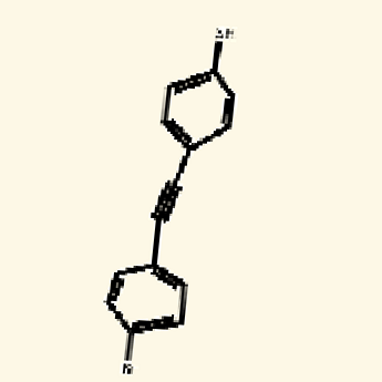 Sc1ccc(C#Cc2ccc(Br)cc2)cc1